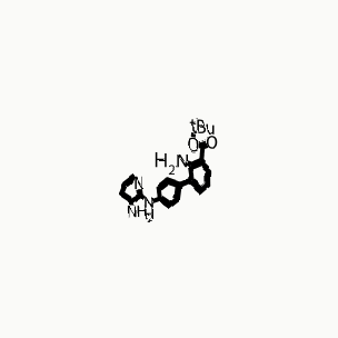 CC(C)(C)OC(=O)c1cccc(-c2ccc(Nc3ncccc3N)cc2)c1N